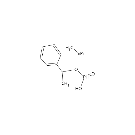 CC(O[PH](=O)O)c1ccccc1.CCCC